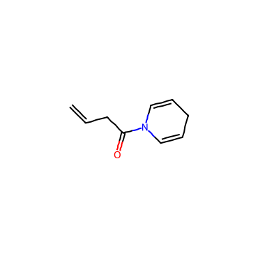 C=CCC(=O)N1C=CCC=C1